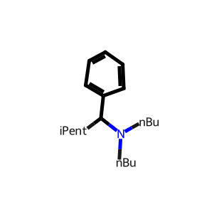 CCCCN(CCCC)C(c1ccccc1)C(C)CCC